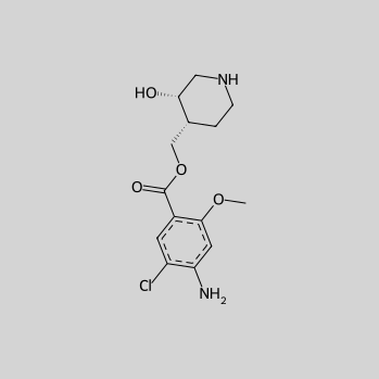 COc1cc(N)c(Cl)cc1C(=O)OC[C@H]1CCNC[C@H]1O